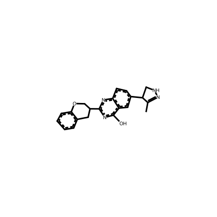 CC1=NNCC1c1ccc2nc(C3COc4ccccc4C3)nc(O)c2c1